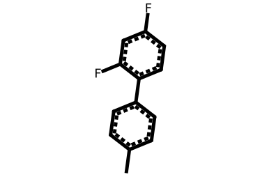 Cc1ccc(-c2ccc(F)cc2F)cc1